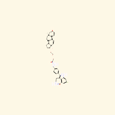 C[C@]12CCC(=O)C[C@@H]1CC[C@@H]1[C@@H]2CC[C@]2(C)[C@@H](OCCOCC(=O)NCc3ccc(-c4[nH]c5cc(F)cc6c5c4CCNC6=O)cc3)CC[C@@H]12